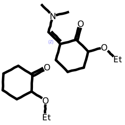 CCOC1CCC/C(=C/N(C)C)C1=O.CCOC1CCCCC1=O